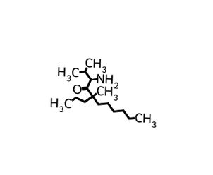 CCCCCCC(C)(CCC)C(=O)[C@H](N)C(C)C